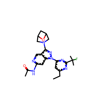 CCc1cc(-n2nc(N3CC4CC(C3)O4)c3cnc(NC(C)=O)cc32)nc(C(C)(C)F)n1